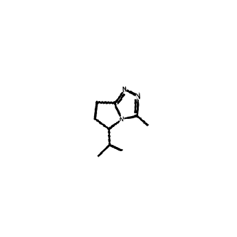 Cc1nnc2n1C(C(C)C)CC2